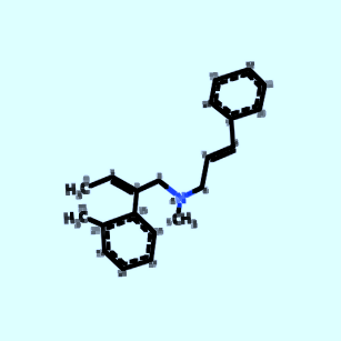 C/C=C(/CN(C)C/C=C/c1ccccc1)c1ccccc1C